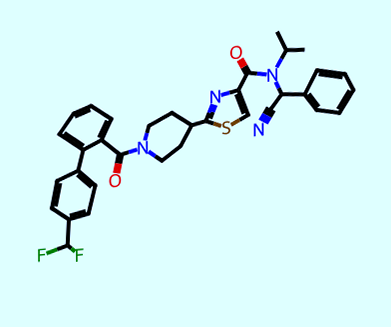 CC(C)N(C(=O)c1csc(C2CCN(C(=O)c3ccccc3-c3ccc(C(F)F)cc3)CC2)n1)C(C#N)c1ccccc1